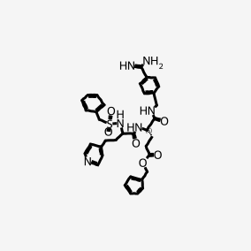 N=C(N)c1ccc(CNC(=O)[C@H](CCC(=O)OCc2ccccc2)NC(=O)C(CCc2ccncc2)NS(=O)(=O)Cc2ccccc2)cc1